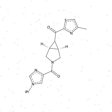 Cc1csc(C(=O)C2[C@H]3CN(C(=O)c4cn(C(C)C)cn4)C[C@@H]23)n1